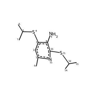 Cc1cc(SC(C)C)c(N)c(SC(C)C)n1